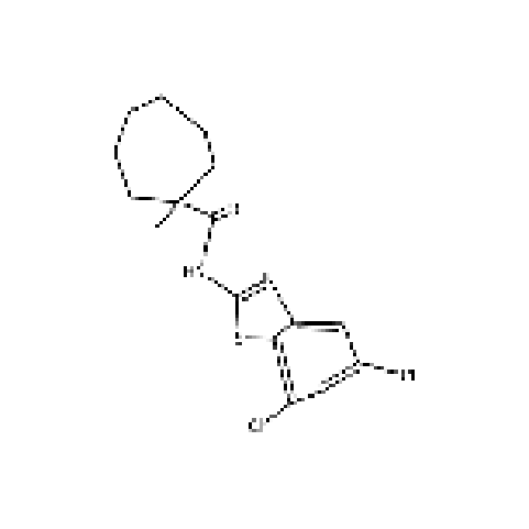 CC1(C(=O)Nc2nc3cc(Cl)cc(Cl)c3s2)CCCCCC1